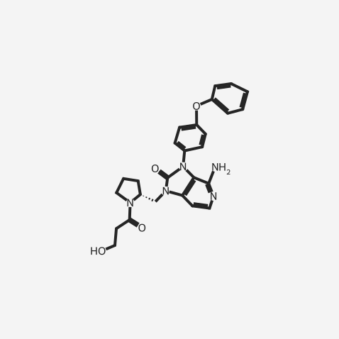 Nc1nccc2c1n(-c1ccc(Oc3ccccc3)cc1)c(=O)n2C[C@H]1CCCN1C(=O)CCO